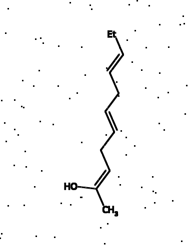 CCC=CCC=CCC=C(C)O